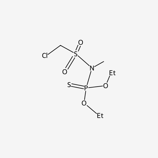 CCOP(=S)(OCC)N(C)S(=O)(=O)CCl